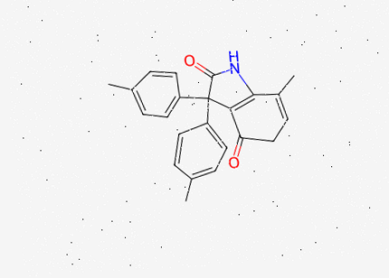 CC1=CCC(=O)C2=C1NC(=O)C2(c1ccc(C)cc1)c1ccc(C)cc1